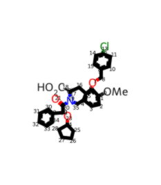 COc1ccc2c(c1OCc1ccc(Cl)cc1)C[C@H](C(=O)O)N(C(=O)[C@H](OC1CCCC1)c1ccccc1)C2